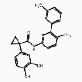 Cc1cccc(-c2nc(NC(=O)C3(c4ccc(O)c(O)c4)CC3)ccc2C)c1